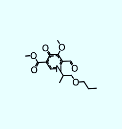 CCCOCC(C)n1cc(C(=O)OC)c(=O)c(OC)c1C=O